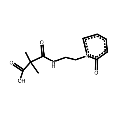 CC(C)(C(=O)O)C(=O)NCCn1ccccc1=O